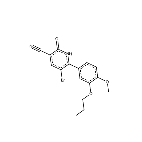 CCCOc1cc(-c2[nH]c(=O)c(C#N)cc2Br)ccc1OC